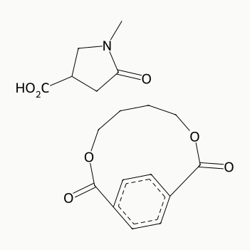 CN1CC(C(=O)O)CC1=O.O=C1OCCCCOC(=O)c2ccc1cc2